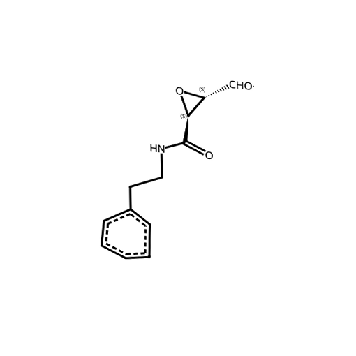 O=[C][C@H]1O[C@@H]1C(=O)NCCc1ccccc1